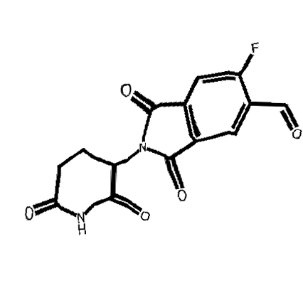 O=Cc1cc2c(cc1F)C(=O)N(C1CCC(=O)NC1=O)C2=O